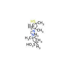 CC(C)(S)CC(C)(C)N1CCN(C(C)(C)CC(C)(C)S(=O)(=O)O)C1